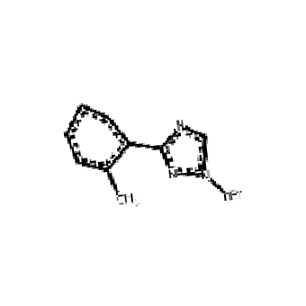 CCCn1cnc(-c2ccccc2C)n1